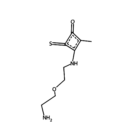 Cc1c(NCCOCCN)c(=S)c1=O